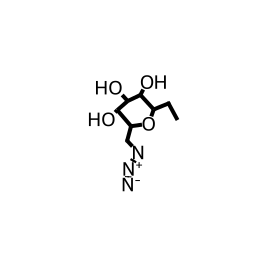 CCC1OC(CN=[N+]=[N-])C(O)C(O)C1O